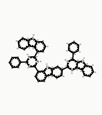 c1ccc(-c2nc(-c3cccc4c3oc3cc(-c5nc(-c6ccccc6)c6oc7ccccc7c6n5)ccc34)nc(-c3cccc4sc5ccccc5c34)n2)cc1